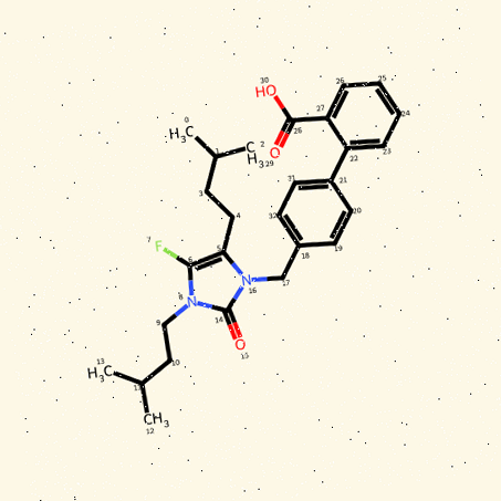 CC(C)CCc1c(F)n(CCC(C)C)c(=O)n1Cc1ccc(-c2ccccc2C(=O)O)cc1